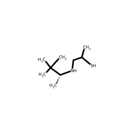 CC(S)CN[C@H](C)C(C)(C)C